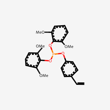 C=Cc1ccc(OP(Oc2c(OC)cccc2OC)Oc2c(OC)cccc2OC)cc1